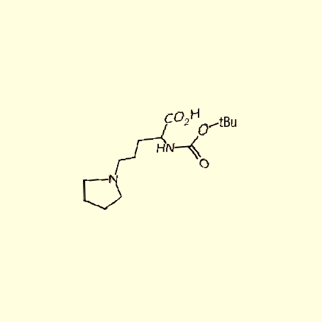 CC(C)(C)OC(=O)NC(CCCN1CCCC1)C(=O)O